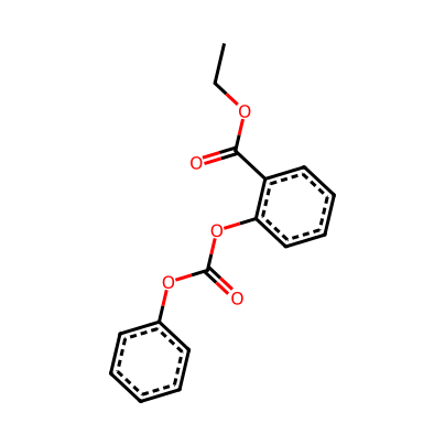 CCOC(=O)c1ccccc1OC(=O)Oc1ccccc1